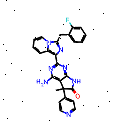 CC1(c2ccncc2)C(=O)Nc2nc(-c3nc(Cc4ccccc4F)n4ccccc34)nc(N)c21